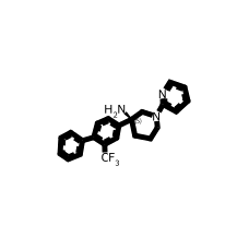 N[C@]1(c2ccc(-c3ccccc3)c(C(F)(F)F)c2)CCCN(c2ccccn2)C1